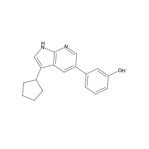 Oc1cccc(-c2cnc3[nH]cc(C4CCCC4)c3c2)c1